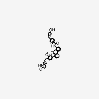 COc1nc(-c2ccnc(-c3cccc(NC(=O)c4ccc(CN5CC(O)C5)cn4)c3C)c2Cl)ccc1CN1CC2(CCC(=O)N2)C1